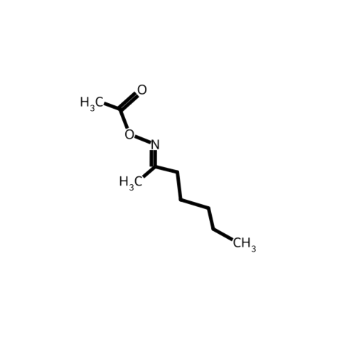 CCCCC/C(C)=N/OC(C)=O